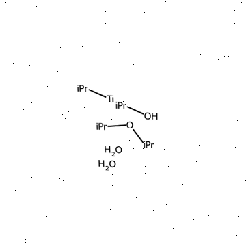 CC(C)O.CC(C)OC(C)C.C[CH](C)[Ti].O.O